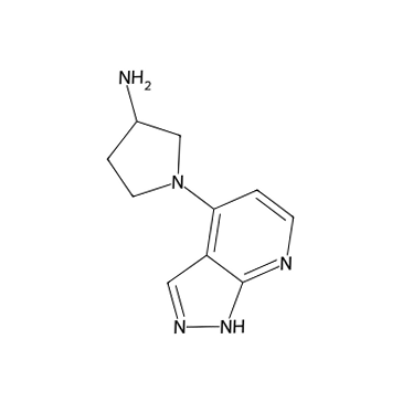 NC1CCN(c2ccnc3[nH]ncc23)C1